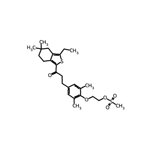 CCc1sc(C(=O)CCc2cc(C)c(OCCOS(C)(=O)=O)c(C)c2)c2c1CC(C)(C)CC2